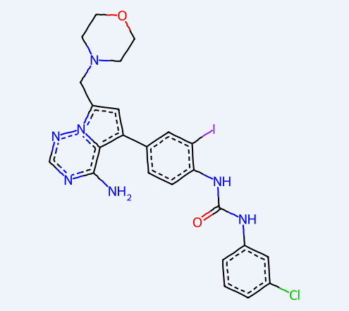 Nc1ncnn2c(CN3CCOCC3)cc(-c3ccc(NC(=O)Nc4cccc(Cl)c4)c(I)c3)c12